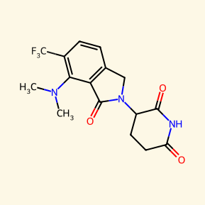 CN(C)c1c(C(F)(F)F)ccc2c1C(=O)N(C1CCC(=O)NC1=O)C2